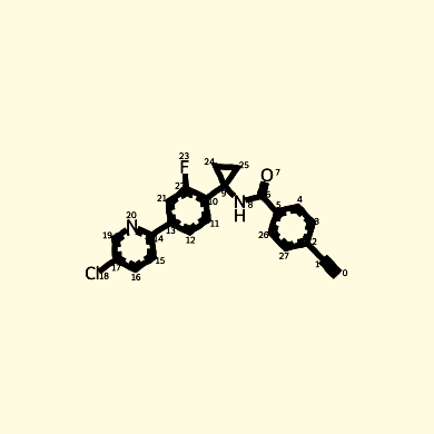 C#Cc1ccc(C(=O)NC2(c3ccc(-c4ccc(Cl)cn4)cc3F)CC2)cc1